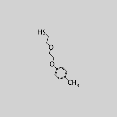 Cc1ccc(OCCOCCS)cc1